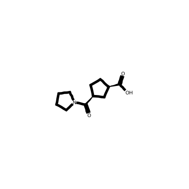 O=C(O)[C@@H]1CC[C@H](C(=O)N2CCCC2)C1